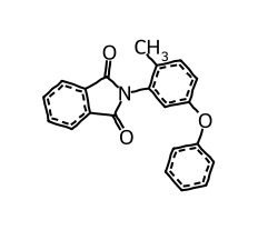 Cc1ccc(Oc2ccccc2)cc1N1C(=O)c2ccccc2C1=O